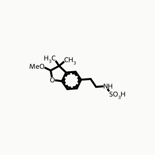 COC1Oc2ccc(CCNS(=O)(=O)O)cc2C1(C)C